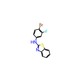 Fc1cc(Nc2nc3ccccc3s2)ccc1Br